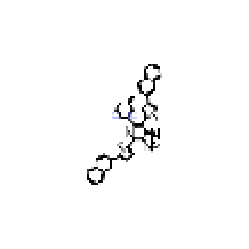 C=C/C=C(\C=C/C)c1nc(-c2ccc(-c3ccc4ccccc4c3)s2)c2nonc2c1-c1cc(-c2ccc3ccccc3c2)cs1